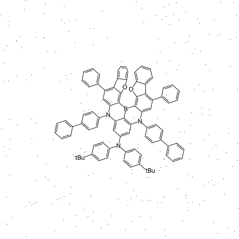 CC(C)(C)c1ccc(N(c2ccc(C(C)(C)C)cc2)c2cc3c4c(c2)N(c2ccc(-c5ccccc5)cc2)c2cc(-c5ccccc5)c5c(oc6ccccc65)c2B4c2c(cc(-c4ccccc4)c4c2oc2ccccc24)N3c2ccc(-c3ccccc3)cc2)cc1